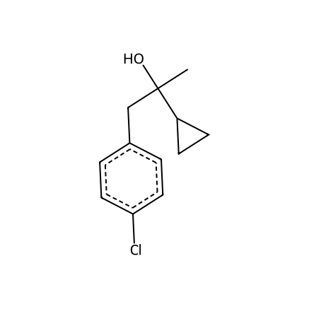 CC(O)(Cc1ccc(Cl)cc1)C1CC1